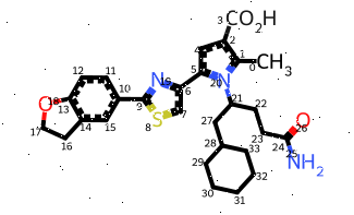 Cc1c(C(=O)O)cc(-c2csc(-c3ccc4c(c3)CCO4)n2)n1C(CCC(N)=O)CC1CCCCC1